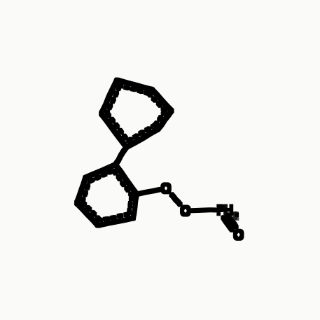 O=[PH2]OOc1ccccc1-c1ccccc1